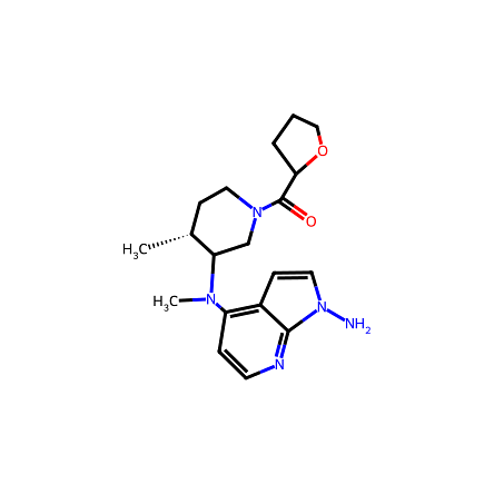 C[C@@H]1CCN(C(=O)C2CCCO2)CC1N(C)c1ccnc2c1ccn2N